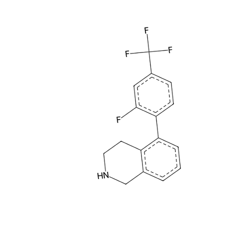 Fc1cc(C(F)(F)F)ccc1-c1cccc2c1CCNC2